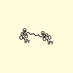 CC(C)C(=O)OS(=O)(=O)CCCCCCS(=O)(=O)OC(=O)C(C)C